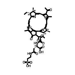 CC[C@H]1c2cc3[nH]c4c(c3C)C(=O)C(C(O)OC)c4c3nc(cc4[nH]c(cc(n2)[C@@H]1C)c(C(C)=O)c4C)[C@@H](C)[C@@H]3CCC(=O)N[C@@H](CC(=O)NCCS(=O)(=O)O)C(=O)O